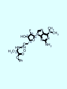 CC(C)OC(=O)[C@H](C)N[PH](=O)OC[C@H]1O[C@@H](n2cnc3c(N(C)C)nc(N)nc32)[C@H](F)[C@@H]1O